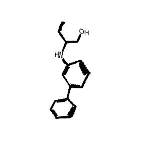 C=CC(CO)Nc1cccc(-c2ccccc2)c1